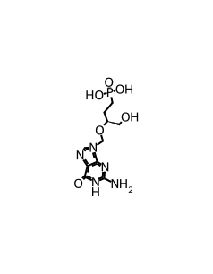 Nc1nc2c(ncn2CO[C@H](CO)CCP(=O)(O)O)c(=O)[nH]1